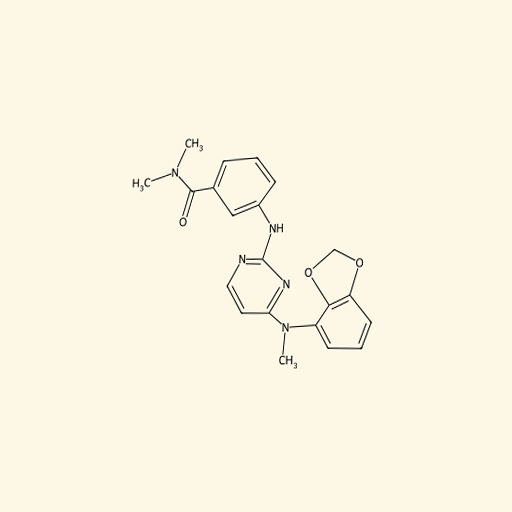 CN(C)C(=O)c1cccc(Nc2nccc(N(C)c3cccc4c3OCO4)n2)c1